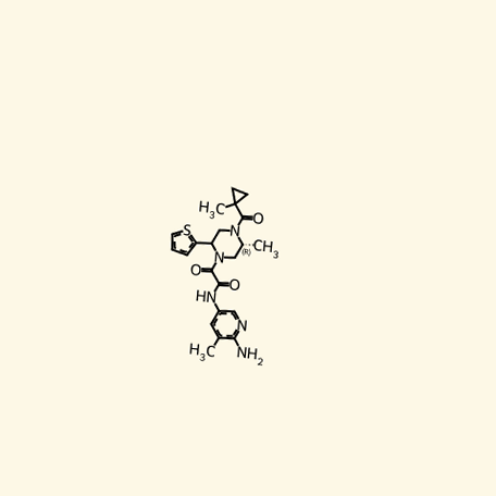 Cc1cc(NC(=O)C(=O)N2C[C@@H](C)N(C(=O)C3(C)CC3)CC2c2cccs2)cnc1N